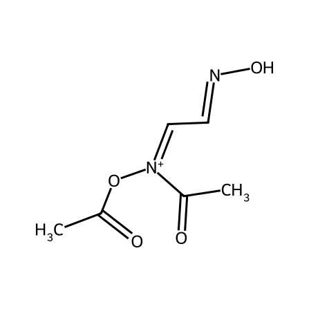 CC(=O)O[N+](=CC=NO)C(C)=O